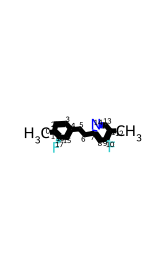 Cc1ccc(CCc2cc(F)c(C)cn2)cc1F